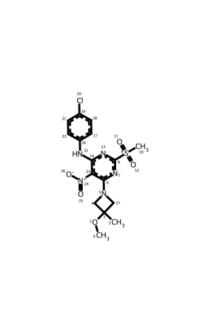 COC1(C)CN(c2nc(S(C)(=O)=O)nc(Nc3ccc(Cl)cc3)c2[N+](=O)[O-])C1